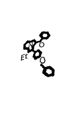 CCc1c(-c2ccc(OCc3ccccc3)cc2)c2c(C(=O)c3ccccc3)cc3cccc1n32